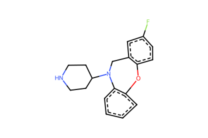 Fc1ccc2c(c1)CN(C1CCNCC1)c1ccccc1O2